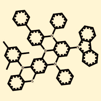 Cc1cc(C)c(B2c3ccccc3Sc3cc4c(cc32)B2c3ccc(-c5ccccc5)cc3N(c3ccccc3)c3cc(-n5c6ccccc6c6ccccc65)cc(c32)N4c2ccccc2)c(C)c1